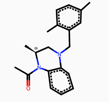 CC(=O)N1c2ccccc2N(Cc2cc(C)ccc2C)C[C@@H]1C